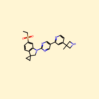 CCS(=O)(=O)c1ccc2c(c1)N(c1ncc(-c3cc(C4(C)CNC4)ccn3)cn1)CC21CC1